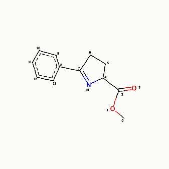 COC(=O)C1CCC(c2ccccc2)=N1